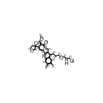 CC[C@@](O)(C=O)c1cc2n(c(=O)c1COC)Cc1c-2nc2cc(F)c(C)cc2c1CCCOCNC=O